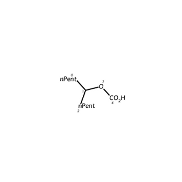 CCCCCC(CCCCC)OC(=O)O